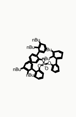 CCCCc1cccc(-c2ccccc2OP(=O)(Oc2ccccc2-c2cccc(CCCC)c2CCCC)Oc2ccccc2-c2cccc(CCCC)c2CCCC)c1CCCC